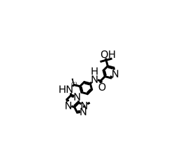 C[C@H](Nc1cnc2cnn(C)c2n1)c1cccc(NC(=O)c2cncc(C(C)(C)O)c2)c1